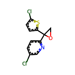 Clc1ccc(C2(c3ccc(Cl)s3)CO2)nc1